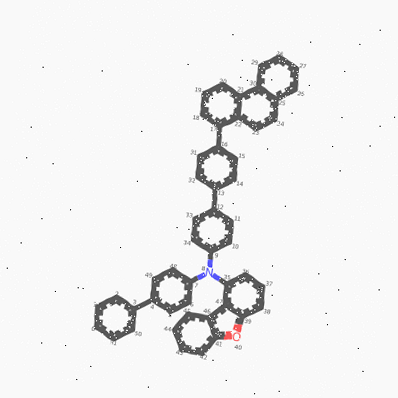 c1ccc(-c2ccc(N(c3ccc(-c4ccc(-c5cccc6c5ccc5ccccc56)cc4)cc3)c3cccc4oc5ccccc5c34)cc2)cc1